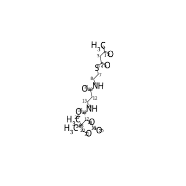 CC(=O)CC(=O)SCCNC(=O)CCNC(=O)[C@@H]1OC(=O)OCC1(C)C